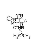 CN(C)CCNC(=O)c1c(NC2CC2)c2cncnc2n2c1nc1ccccc12